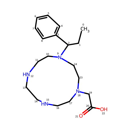 CCC(c1ccccc1)N1CCNCCNCCN(CC(=O)O)CC1